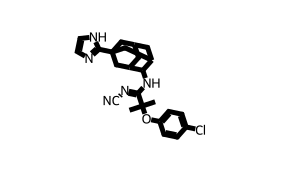 CC(C)(Oc1ccc(Cl)cc1)C(=NC#N)NC1C2CC3CC1CC(c1ncc[nH]1)(C3)C2